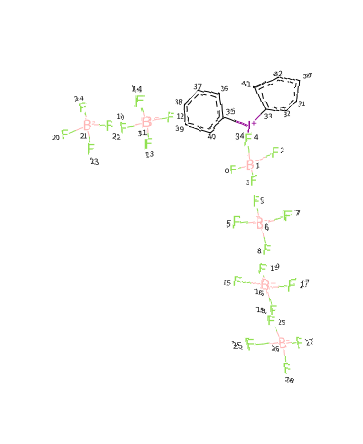 F[B-](F)(F)F.F[B-](F)(F)F.F[B-](F)(F)F.F[B-](F)(F)F.F[B-](F)(F)F.F[B-](F)(F)F.c1ccc([I+]c2ccccc2)cc1